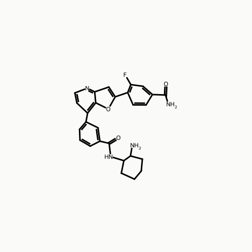 NC(=O)c1ccc(-c2cc3nccc(-c4cccc(C(=O)NC5CCCCC5N)c4)c3o2)c(F)c1